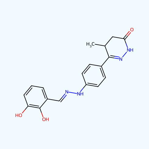 CC1CC(=O)NN=C1c1ccc(NN=Cc2cccc(O)c2O)cc1